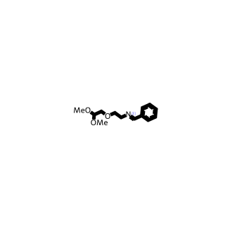 COC(COCC/N=C/c1ccccc1)OC